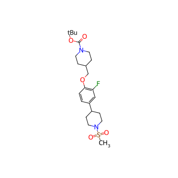 CC(C)(C)OC(=O)N1CCC(COc2ccc(C3CCN(S(C)(=O)=O)CC3)cc2F)CC1